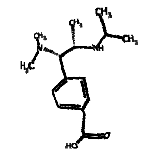 CC(C)N[C@@H](C)[C@H](c1ccc(C(=O)O)cc1)N(C)C